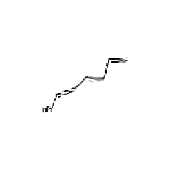 [CH2]CCC=CC=CC=C